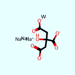 O=C([O-])CC(O)(CC(=O)[O-])C(=O)[O-].[Na+].[Na+].[Na+].[W]